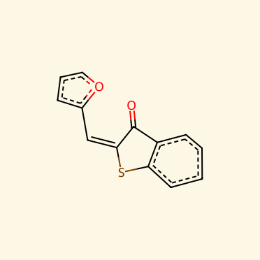 O=C1/C(=C\c2ccco2)Sc2ccccc21